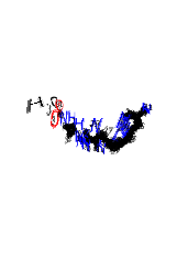 COC(=O)NCC1CC(n2cc(-c3cnc(-c4ccc5cc(C#N)cnn45)cc3N)nn2)C1